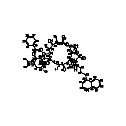 CCC1C(=O)[C@H](C)C[C@](C)(OC)[C@H](O[C@@H]2O[C@H](C)C[C@H](N(C)C)[C@H]2OC(=O)c2ccccc2)[C@@H](C)C(=O)[C@@H](C)C(=O)O[C@H](CC)[C@@]2(C)OC(=O)N(NCCCc3ccnc4ccccc34)[C@H]12